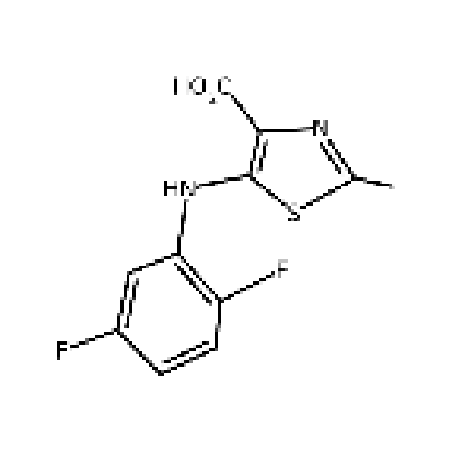 Cc1nc(C(=O)O)c(Nc2cc(F)ccc2F)s1